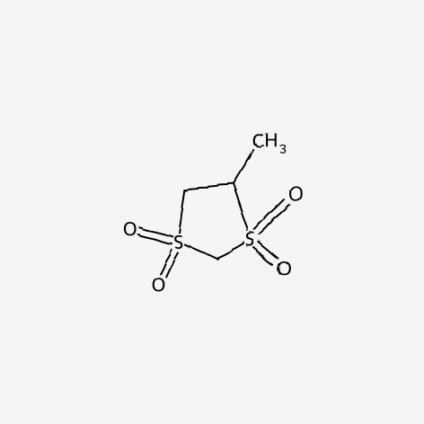 CC1CS(=O)(=O)CS1(=O)=O